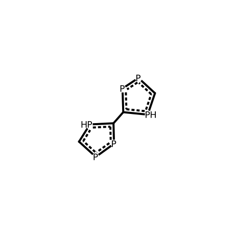 c1ppc(-c2ppc[pH]2)[pH]1